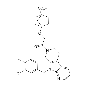 O=C(COC12CCC(C(=O)O)(CC1)C2)N1CCc2c(n(Cc3ccc(F)c(Cl)c3)c3ncccc23)C1